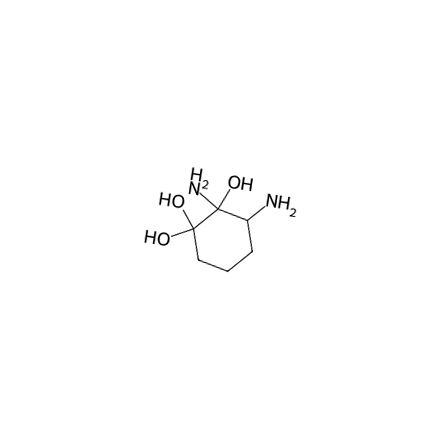 NC1CCCC(O)(O)C1(N)O